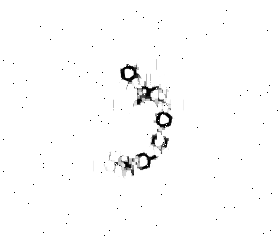 Cc1cccc(C)c1Nc1nn(C)c2nc(Nc3ccc(N4CCN(CC5CCN(C(=O)OC(C)(C)C)CC5)CC4)cc3)ncc12